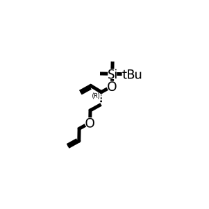 C=CCOCC[C@H](C=C)O[Si](C)(C)C(C)(C)C